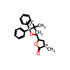 C[C@H]1CC(CO[Si](c2ccccc2)(c2ccccc2)C(C)(C)C)OC1=O